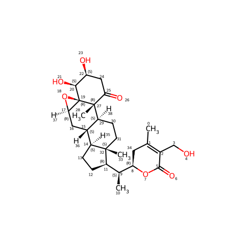 CC1=C(CO)C(=O)O[C@@H]([C@@H](C)[C@H]2CC[C@H]3[C@@H]4C[C@H]5O[C@]56[C@@H](O)[C@@H](O)CC(=O)[C@]6(C)[C@H]4CC[C@]23C)C1